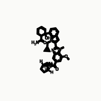 COc1cc(C(=O)N2C[C@H]3CC[C@@H]2[C@@H]3N)cc2nc(-c3cc4cccc(C5(O)C=CC=CC5C(N)=O)c4n3CC3CC3)n(C)c12